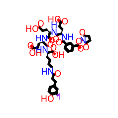 O=C(O)CC[C@@H](NC(=O)c1cccc(C(=O)ON2C(=O)CCC2=O)c1)C(=O)N[C@H](CCC(=O)O)C(=O)N[C@H](CCC(=O)O)C(=O)N[C@H](CCCCNC(=O)CCc1ccc(O)c(I)c1)C(=O)O